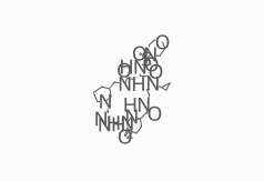 NN=CN1CCC[C@@H](CNC(=O)C[C@H](NS(=O)(=O)N2CCOCC2)C(=O)N(CCNC(=O)C2=NNC(=O)CC2)C2CC2)C1